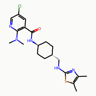 Cc1nc(NC[C@H]2CC[C@H](NC(=O)c3cc(Cl)cnc3N(C)C)CC2)sc1C